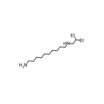 CCC(CC)CNCCCCCCCCCCN